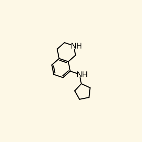 c1cc2c(c(NC3CCCC3)c1)CNCC2